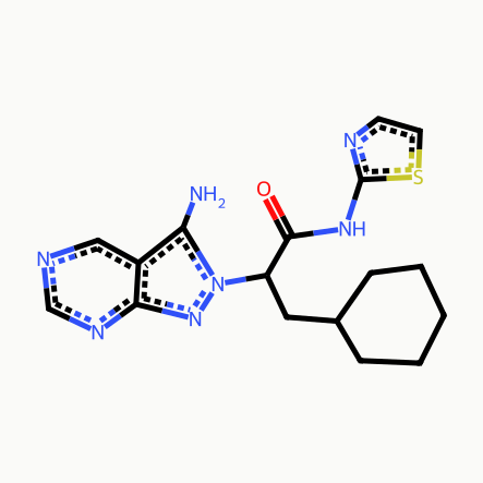 Nc1c2cncnc2nn1C(CC1CCCCC1)C(=O)Nc1nccs1